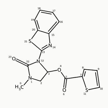 CN1CC(OC(=O)c2cccs2)N(c2nc3ccccc3s2)C1=O